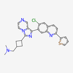 CN(C)CC1CC(c2nc(-c3cc4nc(-c5cccs5)ccc4cc3Cl)c3cnccn23)C1